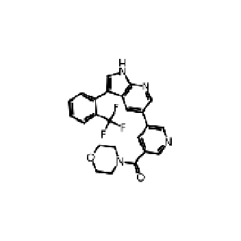 O=C(c1cncc(-c2cnc3[nH]cc(-c4ccccc4C(F)(F)F)c3c2)c1)N1CCOCC1